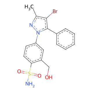 Cc1nn(-c2ccc(S(N)(=O)=O)c(CO)c2)c(-c2ccccc2)c1Br